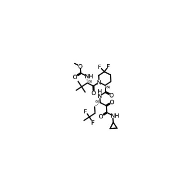 COC(=O)N[C@H](C(=O)N1CC(F)(F)CC[C@H]1C(=O)N[C@@H](CCC(C)(F)F)C(=O)C(=O)NC1CC1)C(C)(C)C